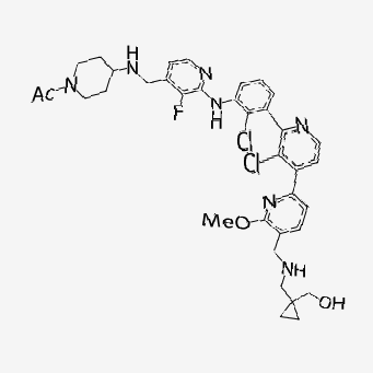 COc1nc(-c2ccnc(-c3cccc(Nc4nccc(CNC5CCN(C(C)=O)CC5)c4F)c3Cl)c2Cl)ccc1CNCC1(CO)CC1